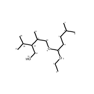 CCOC(CCC(C)C)OCC(C)C(CO)C(C)C